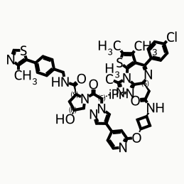 Cc1ncsc1-c1ccc(CNC(=O)[C@@H]2C[C@@H](O)CN2C(=O)[C@H](C(C)C)n2cc(-c3ccnc(O[C@H]4C[C@H](NC(=O)C[C@@H]5N=C(c6ccc(Cl)cc6)c6c(sc(C)c6C)-n6c(C)nnc65)C4)c3)cn2)cc1